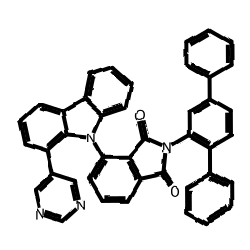 O=C1c2cccc(-n3c4ccccc4c4cccc(-c5cncnc5)c43)c2C(=O)N1c1cc(-c2ccccc2)ccc1-c1ccccc1